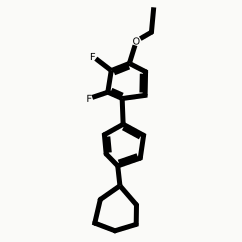 CCOc1ccc(-c2ccc(C3CC[CH]CC3)cc2)c(F)c1F